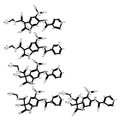 CCOC(=O)C1(C)C(=O)Nc2cc(NC(=O)c3cccnc3)c([N+](=O)[O-])cc21.CCOC(=O)C1(CC)C(=O)Nc2cc(NC(=O)c3cccnc3)c([N+](=O)[O-])cc21.CCOC(=O)C1(CC)C(=O)Nc2cc(NC(=O)c3ccncc3)c([N+](=O)[O-])cc21.CCOC(=O)C1C(=O)Nc2cc(NC(=O)c3cccnc3)c([N+](=O)[O-])cc21.CCOC(=O)C1C(=O)Nc2cc(NC(=O)c3ccncc3)c([N+](=O)[O-])cc21